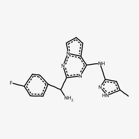 Cc1cc(Nc2nc(C(N)c3ccc(F)cc3)nn3cccc23)n[nH]1